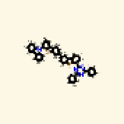 c1ccc(-c2nc(-c3ccccc3)nc(-c3cccc4c3sc3ccc(-c5ccc6c(c5)sc5c(-n7c8ccccc8c8ccccc87)cccc56)cc34)n2)cc1